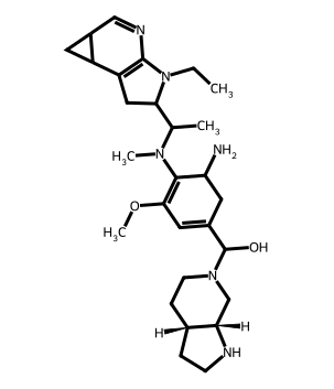 CCN1C2=C(CC1C(C)N(C)C1=C(OC)C=C(C(O)N3CC[C@H]4CCN[C@H]4C3)CC1N)C1CC1C=N2